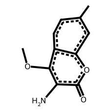 COc1c(N)c(=O)oc2cc(C)ccc12